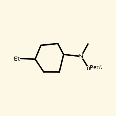 CCCCCN(C)C1CCC(CC)CC1